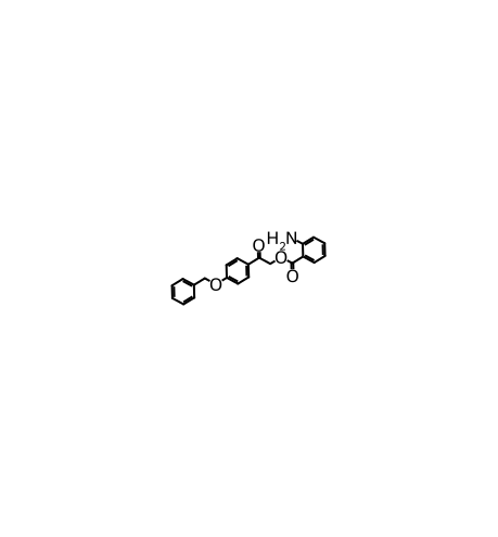 Nc1ccccc1C(=O)OCC(=O)c1ccc(OCc2ccccc2)cc1